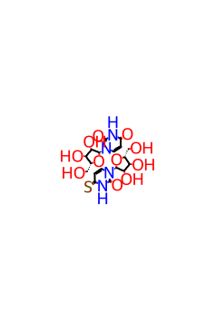 O=c1[nH]c(=S)ccn1[C@@H]1O[C@H](CO)[C@@H](O)[C@H]1O.O=c1ccn([C@@H]2O[C@H](CO)[C@@H](O)[C@H]2O)c(=O)[nH]1